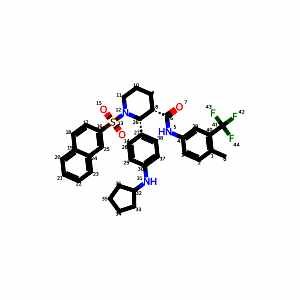 Cc1ccc(NC(=O)[C@H]2CCCN(S(=O)(=O)c3ccc4ccccc4c3)[C@H]2c2ccc(NC3CCCC3)cc2)cc1C(F)(F)F